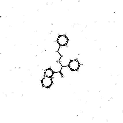 O=C(c1cnn2ccccc12)C(NCCc1ccccc1)c1ccccc1